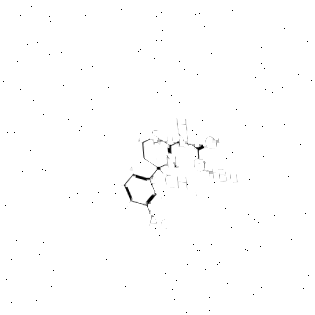 CC(=O)c1cccc(C2(C)CCSC(NC(=O)OC(C)(C)C)=N2)c1